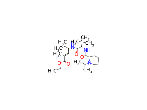 CCOC(=O)/C(C)=C/[C@@H](NC(=O)[C@@H](NC(=O)C1CCCCN1C(C)C)C(C)(C)C)C(C)C